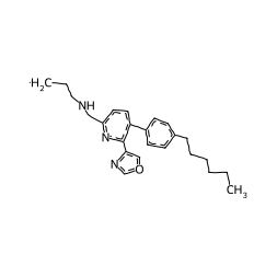 [CH2]CCNCc1ccc(-c2ccc(CCCCCC)cc2)c(-c2cocn2)n1